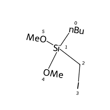 CCCC[Si](CI)(OC)OC